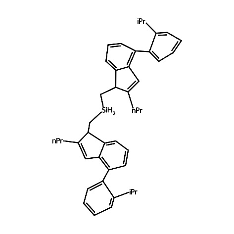 CCCC1=Cc2c(-c3ccccc3C(C)C)cccc2C1C[SiH2]CC1C(CCC)=Cc2c(-c3ccccc3C(C)C)cccc21